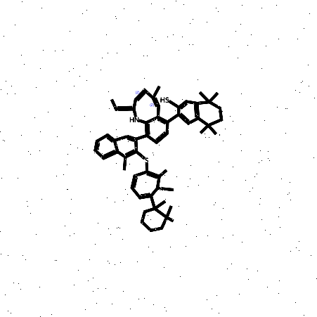 CC=C1/C=C\C(C)=C/c2c(-c3cc4c(cc3S)C(C)(C)CCC4(C)C)ccc(-c3cc4ccccc4c(C)c3SC3=C(C)C(C)C(C4(C)CCCCC4(C)C)=CC=C3)c2N1